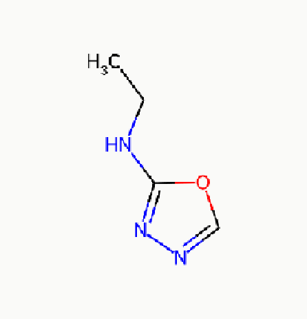 CCNc1nnco1